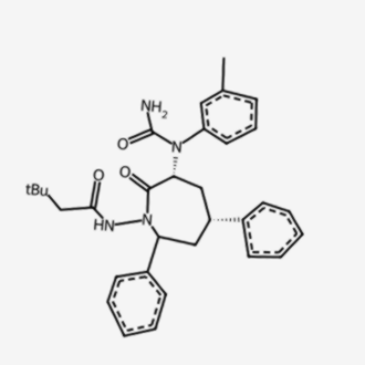 Cc1cccc(N(C(N)=O)[C@@H]2C[C@H](c3ccccc3)CC(c3ccccc3)N(NC(=O)CC(C)(C)C)C2=O)c1